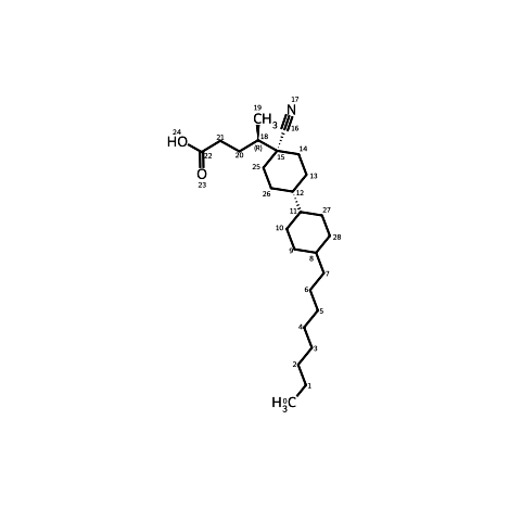 CCCCCCCCC1CCC([C@H]2CC[C@](C#N)([C@H](C)CCC(=O)O)CC2)CC1